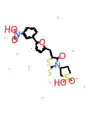 O=C1C(=Cc2ccc(-c3cccc([N+](=O)O)c3)o2)SC(=S)N1C1CCS([O-])(O)C1